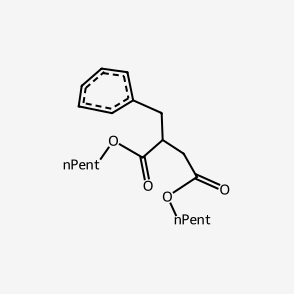 CCCCCOC(=O)CC(Cc1ccccc1)C(=O)OCCCCC